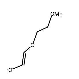 COCCOC=C[O]